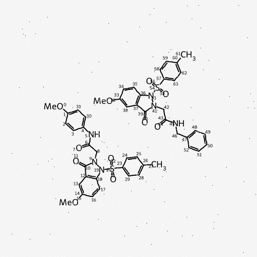 COc1ccc(NC(=O)Cn2c(=O)c3cc(OC)ccc3n2S(=O)(=O)c2ccc(C)cc2)cc1.COc1ccc2c(c1)c(=O)n(CC(=O)NCc1ccccc1)n2S(=O)(=O)c1ccc(C)cc1